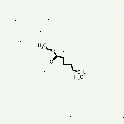 C.CCCCCC(=O)OCC